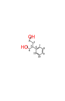 OCCC(CO)c1ccccc1